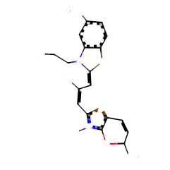 CCC(=Cc1sc2c([n+]1CC)OC(OC)C=C2)C=C1Sc2ccc(OC)cc2N1CCS(=O)(=O)O